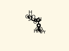 CC(C)NS(=O)(=O)c1ccc(-c2cncc3cc(/C=C4/SC(=O)NC4=O)oc23)cc1